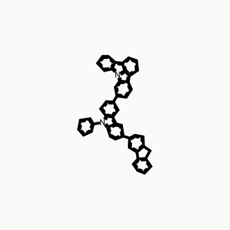 c1ccc(-n2c3ccc(-c4ccc5c(c4)-c4ccccc4C5)cc3c3cc(-c4ccc5c6cccc7c8ccccc8n(c5c4)c76)ccc32)cc1